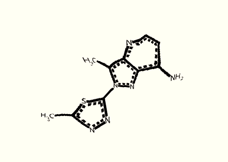 Cc1nnc(-n2nc3c(N)ccnc3c2C)s1